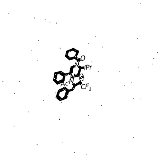 CC(=O)N(C(Cc1ccccc1)C(=O)C(F)(F)F)N1C(=O)C(C(C)C)N(C(=O)C2CCCCC2)C=C1c1ccccc1